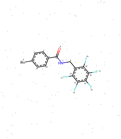 CCC(C)c1ccc(C(=O)NCc2c(F)c(F)c(F)c(F)c2F)cc1